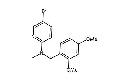 COc1ccc(CN(C)c2ccc(Br)cn2)c(OC)c1